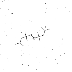 CC(C)CC(C)(C)OOC(C)(C)CC(C)C